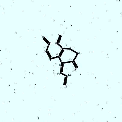 C=C/C=C\C1=C(C=C)CCC(=C)/C1=C\C=C